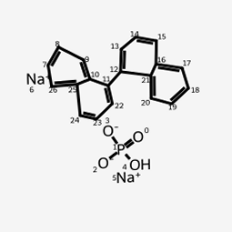 O=P([O-])([O-])O.[Na+].[Na+].c1ccc2c(-c3cccc4ccccc34)cccc2c1